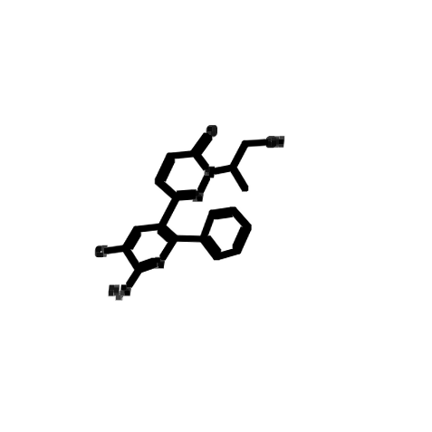 CC(CO)n1nc(-c2cc(Cl)c(N)nc2-c2ccccc2)ccc1=O